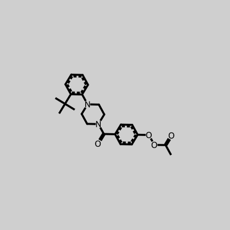 CC(=O)OOc1ccc(C(=O)N2CCN(c3ccccc3C(C)(C)C)CC2)cc1